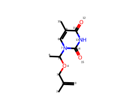 C=C(C)COC(C)n1cc(C)c(=O)[nH]c1=O